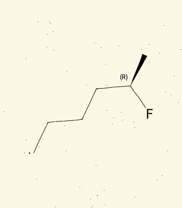 [CH2]CCC[C@@H](C)F